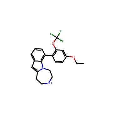 CCOc1ccc(-c2cccc3cc4n(c23)CCNCC4)c(OC(F)(F)F)c1